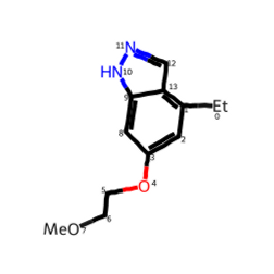 CCc1cc(OCCOC)cc2[nH]ncc12